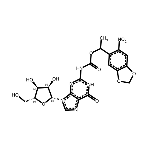 CC(OC(=O)Nc1nc2c(ncn2[C@@H]2O[C@H](CO)[C@@H](O)[C@H]2O)c(=O)[nH]1)c1cc2c(cc1[N+](=O)[O-])OCO2